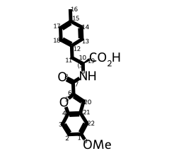 COc1ccc2oc(C(=O)N[C@@H](Cc3ccc(C)cc3)C(=O)O)cc2c1